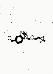 C[Si](C)(C)CCOCn1nnc2cc(C=O)ccc21